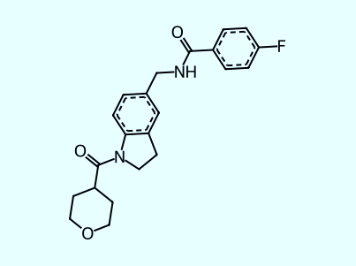 O=C(NCc1ccc2c(c1)CCN2C(=O)C1CCOCC1)c1ccc(F)cc1